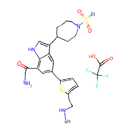 CCCNCc1ccc(-c2cc(C(N)=O)c3[nH]cc(C4CCN(S(=O)(=O)CC)CC4)c3c2)s1.O=C(O)C(F)(F)F